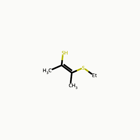 CCS/C(C)=C(/C)S